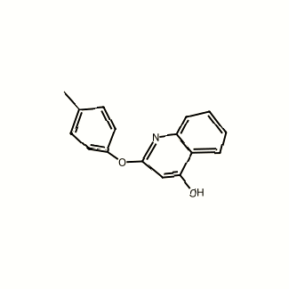 Cc1ccc(Oc2cc(O)c3ccccc3n2)cc1